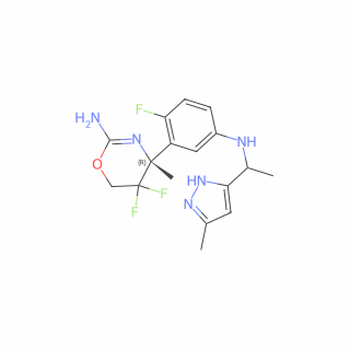 Cc1cc(C(C)Nc2ccc(F)c([C@@]3(C)N=C(N)OCC3(F)F)c2)[nH]n1